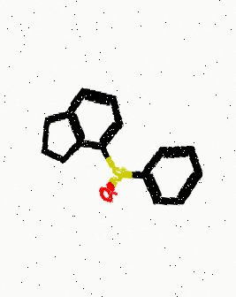 [O-][S+](c1ccccc1)c1cccc2c1CCC2